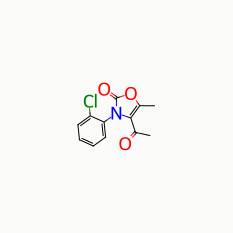 CC(=O)c1c(C)oc(=O)n1-c1ccccc1Cl